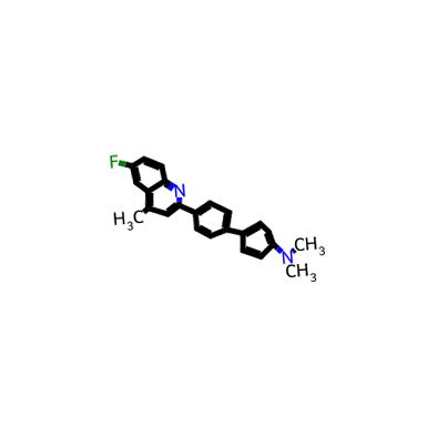 Cc1cc(-c2ccc(-c3ccc(N(C)C)cc3)cc2)nc2ccc(F)cc12